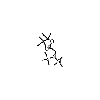 CC1(C)OB(CN([Si](C)(C)C)[Si](C)(C)C)OC1(C)C